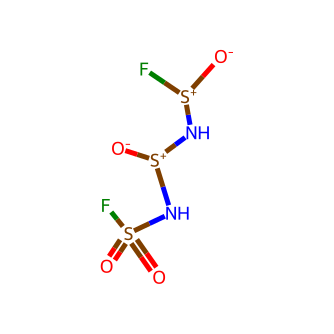 O=S(=O)(F)N[S+]([O-])N[S+]([O-])F